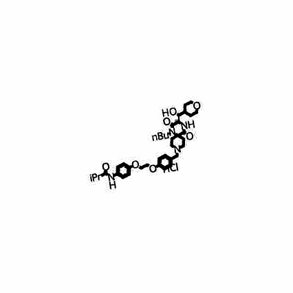 CCCCN1C(=O)[C@@H](C(O)C2CCOCC2)NC(=O)C12CCN(Cc1ccc(OCCOc3ccc(NC(=O)C(C)C)cc3)cc1)CC2.Cl